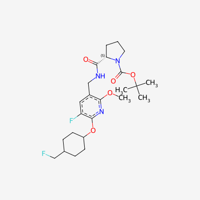 COc1nc(OC2CCC(CF)CC2)c(F)cc1CNC(=O)[C@@H]1CCCN1C(=O)OC(C)(C)C